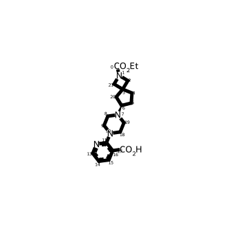 CCOC(=O)N1CC2(CC[C@@H](N3CCN(c4ncccc4C(=O)O)CC3)C2)C1